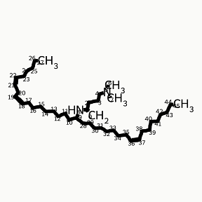 C=C(CCCN(C)C)NC(CCCCCCCC/C=C\C/C=C\CCCCC)CCCCCCCC/C=C\CCCCCCCC